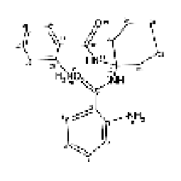 Nc1ccccc1C(=O)NC1(NC(=O)c2ccccc2N)CCCCC1